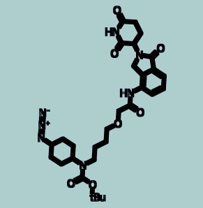 CC(C)(C)OC(=O)N(CCCCOCC(=O)Nc1cccc2c1CN(C1CCC(=O)NC1=O)C2=O)C1CCC(N=[N+]=[N-])CC1